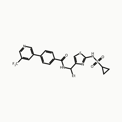 CCC(NC(=O)c1ccc(-c2cncc(C(F)(F)F)c2)cc1)c1csc(NS(=O)(=O)C2CC2)n1